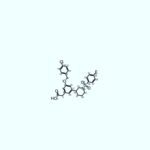 O=C(O)Cc1cc(OCc2ccc(Cl)cc2)cc(C2CCCN(S(=O)(=O)c3ccc(F)cc3)C2)c1